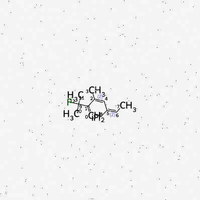 C=C(/C(C)=C\C(=C/C)C(C)C)C(C)(C)F